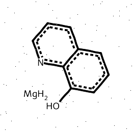 Oc1cccc2cccnc12.[MgH2]